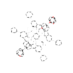 N#Cc1c(-n2c3ccc(-c4ccccc4)cc3c3cc(-c4ccccc4)ccc32)c(-n2c3ccc(-c4ccccc4)cc3c3cc(-c4ccccc4)ccc32)c(C(F)(F)F)c(-n2c3ccc(-c4ccccc4)cc3c3cc(-c4ccccc4)ccc32)c1-n1c2ccc(-c3ccccc3)cc2c2cc(-c3ccccc3)ccc21